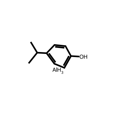 CC(C)c1ccc(O)cc1.[AlH3]